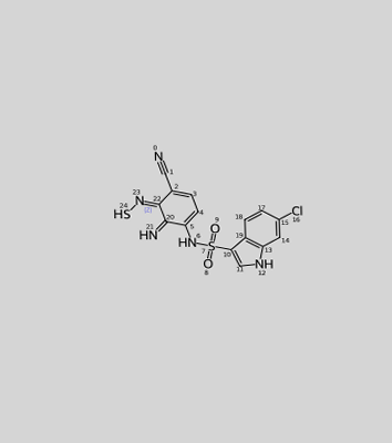 N#CC1=CC=C(NS(=O)(=O)c2c[nH]c3cc(Cl)ccc23)C(=N)/C1=N\S